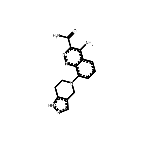 NC(=O)c1nnc2c(N3CCc4[nH]ncc4C3)cccc2c1N